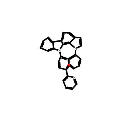 c1ccc(-n2ccc3ccc4c5ccccc5n(-c5ccc(-c6ccccn6)cn5)c4c32)cc1